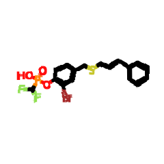 O=P(O)(Oc1ccc(CSCC=Cc2ccccc2)cc1Br)C(F)F